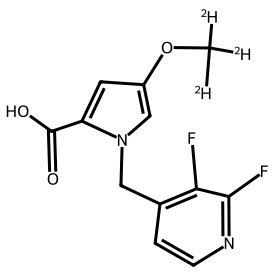 [2H]C([2H])([2H])Oc1cc(C(=O)O)n(Cc2ccnc(F)c2F)c1